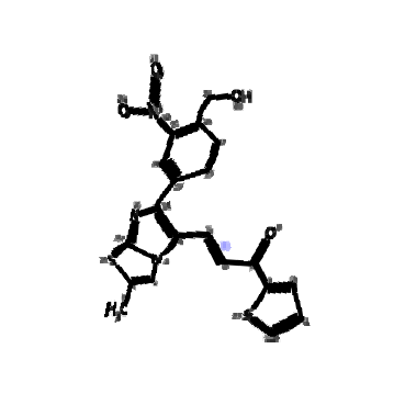 Cc1cn2c(/C=C/C(=O)c3cccs3)c(-c3ccc(CO)c([N+](=O)[O-])c3)nc2s1